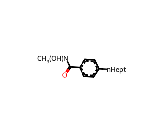 CCCCCCCc1ccc(C(=O)N(C)O)cc1